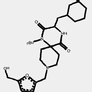 CCCCN1C(=O)C(CC2CCCCC2)NC(=O)C12CCN(Cc1ccc(CO)o1)CC2